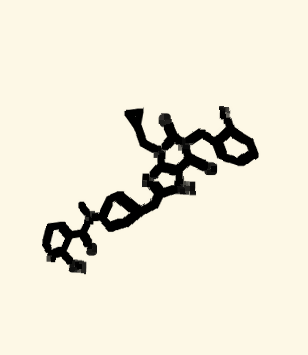 CN(C(=O)c1cccnc1O)c1ccc(Cc2nc3c([nH]2)c(=O)n(Cc2ccccc2F)c(=O)n3CC2CC2)cc1